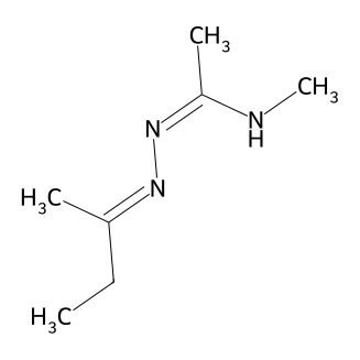 CC/C(C)=N/N=C(/C)NC